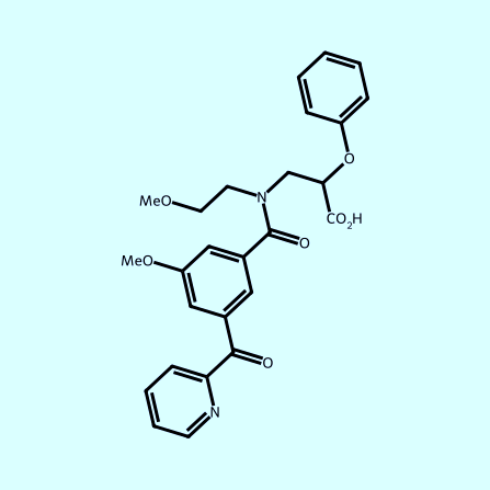 COCCN(CC(Oc1ccccc1)C(=O)O)C(=O)c1cc(OC)cc(C(=O)c2ccccn2)c1